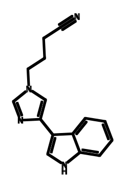 N#CCCCn1cnc(-c2c[nH]c3ccccc23)c1